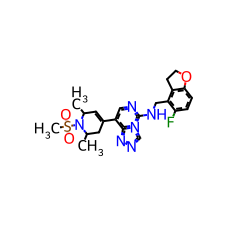 CC1C=C(c2cnc(NCc3c(F)ccc4c3CCO4)n3cnnc23)CC(C)N1S(C)(=O)=O